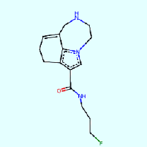 O=C(NCCCF)c1cn2c3c1CCC=C3CNCC2